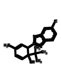 CC1=CC(n2nc3ccc(Cl)cc3n2)C(O)(C(C)(C)C)C=C1